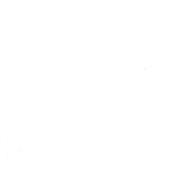 c1ccc(-c2cc(-c3cccc4c3oc3ccccc34)c3ccc4cc(C5CC6C7C(C5)C67)cc5ccc2c3c54)cc1